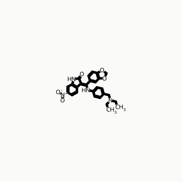 CCN(CC)Cc1ccc(NC(=C2C(=O)Nc3cc([N+](=O)[O-])ccc32)c2ccc3c(c2)OCO3)cc1